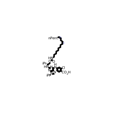 CCCCC/C=C\C/C=C\CCCCCCCCNC(=O)OC[C@H](Nc1nc(Nc2ccc(C(=O)O)c(Cl)c2)c2ncn(C(C)C)c2n1)C(C)C